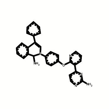 Nc1nccc(-c2cccnc2Oc2ccc(N3C=C(c4ccccc4)c4ccccc4C3N)cc2)n1